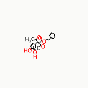 CC(=O)C(C(=O)OCCc1ccccc1)=C(C(C)=O)c1ccc(O)c(O)c1